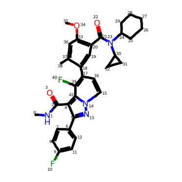 CNC(=O)c1c(-c2ccc(F)cc2)nn2ccc(-c3cc(C(=O)N(C4CCCCC4)C4CC4)c(OC)cc3C)c(F)c12